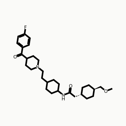 COC[C@H]1CC[C@H](CC(=O)NC2CCC(CCN3CCC(C(=O)c4ccc(F)cc4)CC3)CC2)CC1